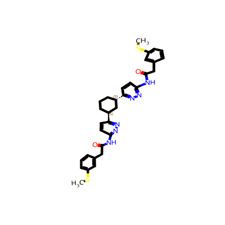 CSc1cccc(CC(=O)Nc2ccc([C@H]3CCC[C@H](c4ccc(NC(=O)Cc5cccc(SC)c5)nn4)C3)nn2)c1